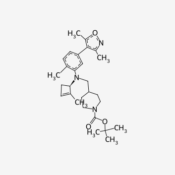 CC1=CC[C@H]1N(CC1CCN(C(=O)OC(C)(C)C)CC1)c1cc(-c2c(C)noc2C)ccc1C